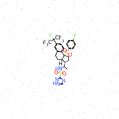 CC(NS(=O)(=O)c1nc[nH]n1)[C@@H]1CC[C@@]2(S(=O)(=O)c3ccc(F)cc3)c3ccc(C(F)(C(F)(F)F)C(F)(F)F)cc3CC[C@@H]12